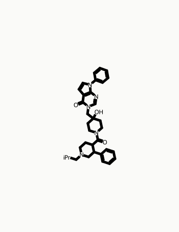 CC(C)CN1CCC(C(=O)N2CCC(O)(Cn3cnc4c(ccn4-c4ccccc4)c3=O)CC2)C(c2ccccc2)C1